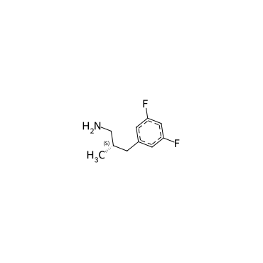 C[C@H](CN)Cc1cc(F)cc(F)c1